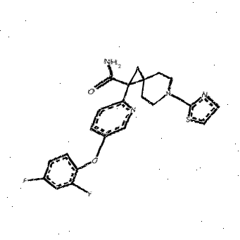 NC(=O)C1(c2ccc(Oc3ccc(F)cc3F)cn2)CC12CCN(c1nccs1)CC2